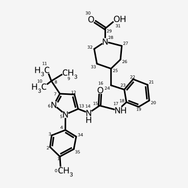 Cc1ccc(-n2nc(C(C)(C)C)cc2NC(=O)Nc2ccccc2CC2CCN(C(=O)O)CC2)cc1